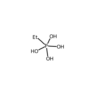 CCP(O)(O)(O)O